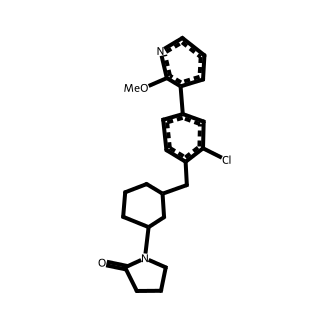 COc1ncccc1-c1ccc(CC2CCCC(N3CCCC3=O)C2)c(Cl)c1